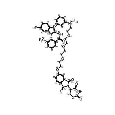 CN(CCOCCOCCOCCOc1ccc2c(c1)C(=O)N(C1CCC(=O)NC1=O)C2=O)c1cccc(-n2c(NC(=O)c3cccc(C(F)(F)F)c3)nc3cc(F)ccc32)c1